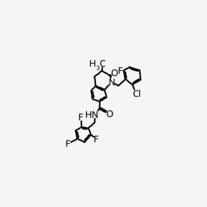 CC1Cc2ccc(C(=O)NCc3c(F)cc(F)cc3F)cc2N(Cc2c(F)cccc2Cl)C1=O